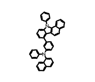 c1ccc(N(c2cccc(-c3cccc4c3c3ccc5ccccc5c3n4-c3ccccc3)c2)c2cccc3ccccc23)cc1